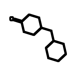 O=C1CCC(CC2CCCCC2)CC1